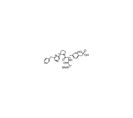 CN[C@@H](C)C(=O)N[C@@H](Cc1ccc(CP(=O)(O)O)cc1)C(=O)N1CCC[C@@H]1c1cncc(Cc2ccccc2)n1